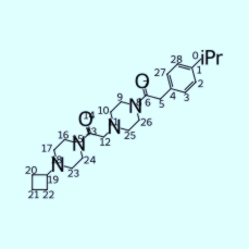 CC(C)c1ccc(CC(=O)N2CCN(CC(=O)N3CCN(C4CCC4)CC3)CC2)cc1